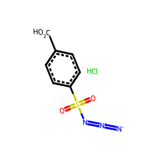 Cl.[N-]=[N+]=NS(=O)(=O)c1ccc(C(=O)O)cc1